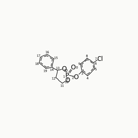 O=P1(Oc2ccc(Cl)cc2)OCCC(c2ccccc2)O1